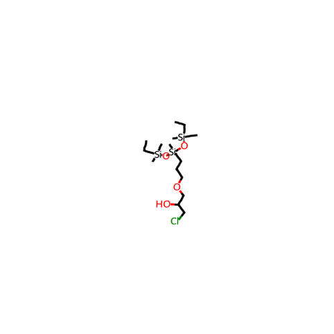 CC[Si](C)(C)O[Si](C)(CCCOCC(O)CCl)O[Si](C)(C)CC